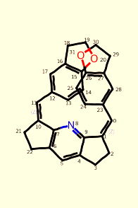 C(=C1\CCc2cc3c(nc21)/C(=C\c1ccc2c(c1)CCO2)CC3)/c1ccc2c(c1)CCO2